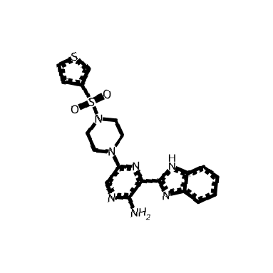 Nc1ncc(N2CCN(S(=O)(=O)c3ccsc3)CC2)nc1-c1nc2ccccc2[nH]1